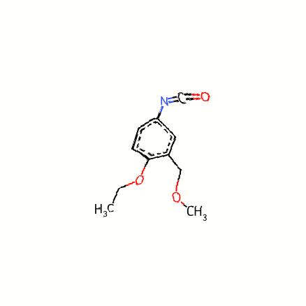 CCOc1ccc(N=C=O)cc1COC